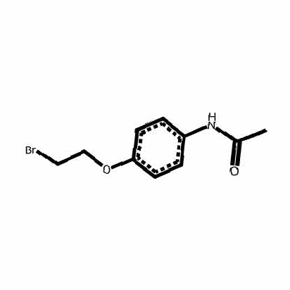 CC(=O)Nc1ccc(OCCBr)cc1